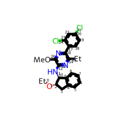 CCO[C@H]1Cc2ccccc2[C@H]1Nc1nc(CC)c(-c2ccc(Cl)cc2Cl)nc1OC